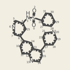 O=S(=O)(Nc1cncc(-c2ccc3nccc(-c4ccncc4)c3c2)c1)c1ccccc1